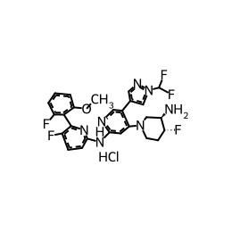 COc1cccc(F)c1-c1nc(Nc2cc(N3CC[C@@H](F)[C@H](N)C3)c(-c3cnn(C(F)F)c3)cn2)ccc1F.Cl